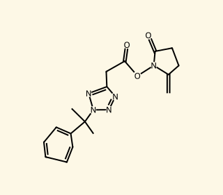 C=C1CCC(=O)N1OC(=O)Cc1nnn(C(C)(C)c2ccccc2)n1